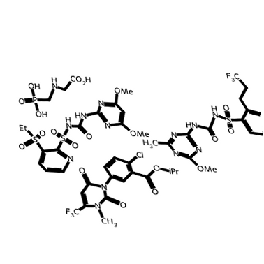 CC(C)OC(=O)c1cc(-n2c(=O)cc(C(F)(F)F)n(C)c2=O)ccc1Cl.CCS(=O)(=O)c1cccnc1S(=O)(=O)NC(=O)Nc1nc(OC)cc(OC)n1.COc1nc(C)nc(NC(=O)NS(=O)(=O)c2ccccc2CCC(F)(F)F)n1.O=C(O)CNCP(=O)(O)O